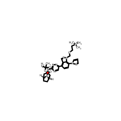 CN(c1ncc(-c2ccc(-n3cccn3)c3c2cnn3COCC[Si](C)(C)C)nn1)C1C[C@H]2CC[C@@H](C1)N2C(=O)OC(C)(C)C